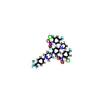 O=[N+]([O-])c1cc([C@H]2CC[C@H](c3cc([N+](=O)[O-])c(Cl)cc3F)N2c2cc(F)c(N3CCN(c4ccc(C(F)(F)F)cc4)CC3)c(F)c2)c(F)cc1Cl